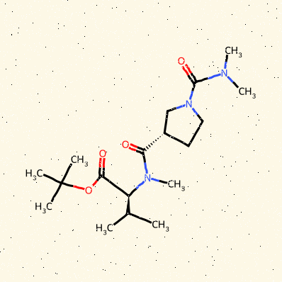 CC(C)[C@@H](C(=O)OC(C)(C)C)N(C)C(=O)[C@H]1CCN(C(=O)N(C)C)C1